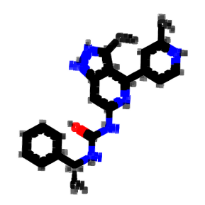 COc1n[nH]c2cc(NC(=O)N[C@H](C)c3ccccc3)nc(-c3ccnc(C)c3)c12